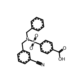 N#Cc1cccc(CN(Cc2ccccc2)S(=O)(=O)c2ccc(C(=O)O)cc2)c1